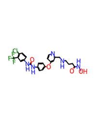 O=C(CCCNCc1cc(Oc2ccc(NC(=O)Nc3ccc(Cl)c(C(F)(F)F)c3)cc2)ccn1)NO